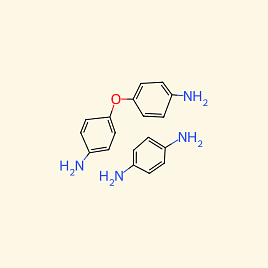 Nc1ccc(N)cc1.Nc1ccc(Oc2ccc(N)cc2)cc1